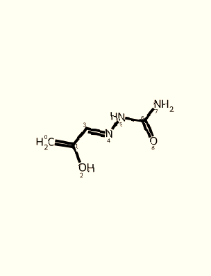 C=C(O)/C=N/NC(N)=O